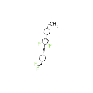 CC[C@H]1CC[C@H](c2cc(F)c(C#C[C@H]3CC[C@H](C=C(F)F)CC3)c(F)c2)CC1